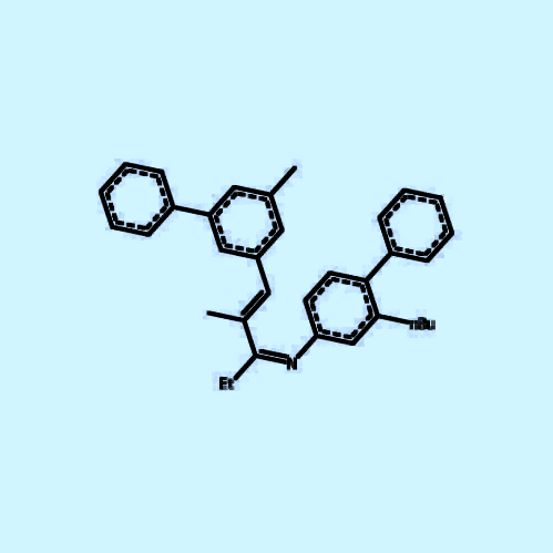 CCCCc1cc(N=C(CC)C(C)=Cc2cc(C)cc(-c3ccccc3)c2)ccc1-c1ccccc1